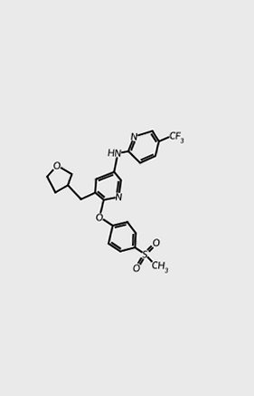 CS(=O)(=O)c1ccc(Oc2ncc(Nc3ccc(C(F)(F)F)cn3)cc2CC2CCOC2)cc1